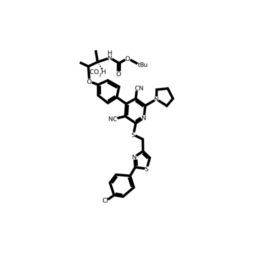 CC(Oc1ccc(-c2c(C#N)c(SCc3csc(-c4ccc(Cl)cc4)n3)nc(N3CCCC3)c2C#N)cc1)[C@@](C)(NC(=O)OC(C)(C)C)C(=O)O